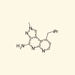 CC(C)Cc1ccnc2nc(N)c3nn(C)cc3c12